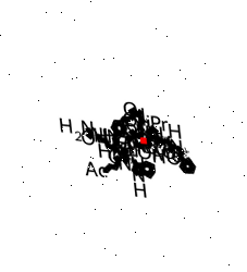 CC[C@H](C)[C@@H]([C@@H](CC(=O)N1CCC[C@H]1[C@H](OC)[C@@H](C)C(=O)N[C@H](C)[C@@H](O)c1ccccc1)OC)N(C)C(=O)[C@@H](NC(=O)[C@H](C(C)C)N(C)C(=O)OCc1ccc(NC(=O)C(CCCNC(N)=O)NC(=O)[C@H](Cc2c[nH]c3ccccc23)NC(=O)CCCC(C)=O)cc1)C(C)C